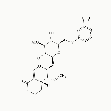 C=C[C@H]1[C@H](O[C@@H]2O[C@H](COc3cccc(C(=O)O)c3)[C@@H](O)[C@H](OC(C)=O)[C@H]2O)OC=C2C(=O)OCC[C@H]21